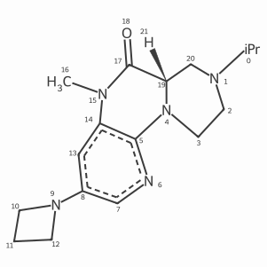 CC(C)N1CCN2c3ncc(N4CCC4)cc3N(C)C(=O)[C@@H]2C1